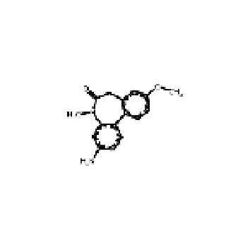 COc1ccc2c(c1)CC(=O)N(C)c1cc(N)ccc1-2